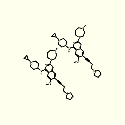 COc1cc2c(NC3CCN(C4CC4)CC3)nc(N3CCCN(C)CC3)nc2cc1C#CCCN1CCCC1.COc1cc2c(NC3CCN(C4CC4)CC3)nc(N3CCCN(C)CC3)nc2cc1C#CCCN1CCCC1